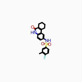 Cc1cc(S(=O)(=O)Nc2ccc3[nH]c(=O)c4c(c3c2)CCCC4)ccc1F